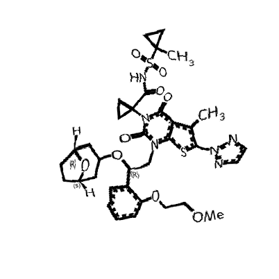 COCCOc1ccccc1[C@H](Cn1c(=O)n(C2(C(=O)NS(=O)(=O)C3(C)CC3)CC2)c(=O)c2c(C)c(-n3nccn3)sc21)OC1C[C@H]2CC[C@@H](C1)O2